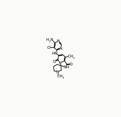 Cc1cc(Nc2ncnc(N)c2Cl)c(=O)n2c1C(=O)NC21CCCN(C)C1